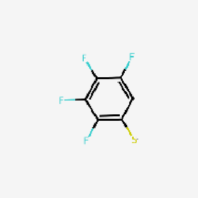 Fc1cc([S])c(F)c(F)c1F